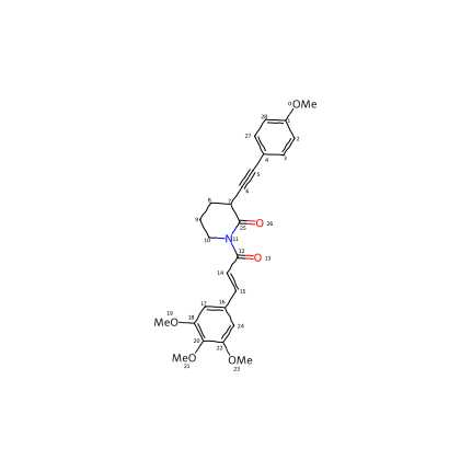 COc1ccc(C#CC2CCCN(C(=O)C=Cc3cc(OC)c(OC)c(OC)c3)C2=O)cc1